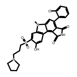 Cn1c2cc(S(=O)(=O)CCCN3CCCC3)c(O)cc2c2c3c(c(-c4ccccc4Cl)cc21)C(=O)NC3=O